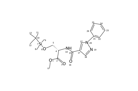 COC(=O)[C@H](CO[Si](C)(C)C(C)(C)C)NC(=O)c1cnn(-c2ccccc2)c1